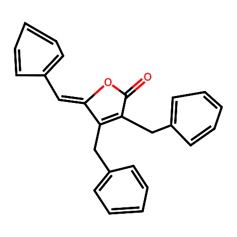 O=C1O/C(=C\c2ccccc2)C(Cc2ccccc2)=C1Cc1ccccc1